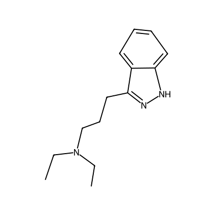 CCN(CC)CCCc1n[nH]c2ccccc12